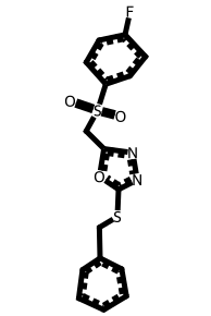 O=S(=O)(Cc1nnc(SCc2ccccc2)o1)c1ccc(F)cc1